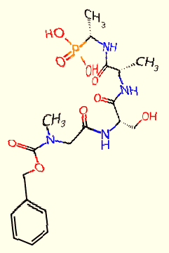 C[C@H](NC(=O)[C@H](CO)NC(=O)CN(C)C(=O)OCc1ccccc1)C(=O)N[C@@H](C)P(=O)(O)O